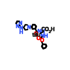 CC(C)(C)C(CC(=O)O)(NC(=O)OCc1ccccc1)NC(=O)c1cccc(N2CCC(Nc3ncccn3)CC2)c1